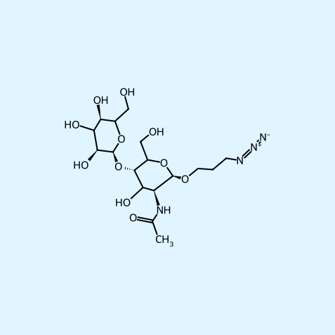 CC(=O)N[C@H]1C(O)[C@H](O[C@@H]2OC(CO)[C@H](O)C(O)[C@@H]2O)C(CO)O[C@H]1OCCCN=[N+]=[N-]